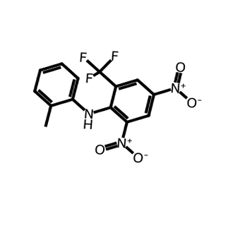 Cc1ccccc1Nc1c([N+](=O)[O-])cc([N+](=O)[O-])cc1C(F)(F)F